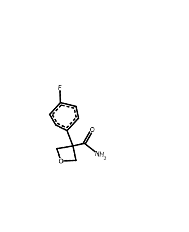 NC(=O)C1(c2ccc(F)cc2)COC1